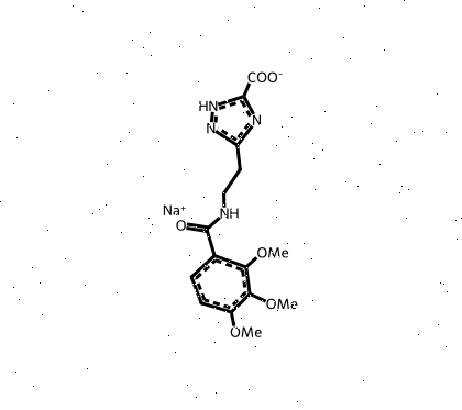 COc1ccc(C(=O)NCCc2n[nH]c(C(=O)[O-])n2)c(OC)c1OC.[Na+]